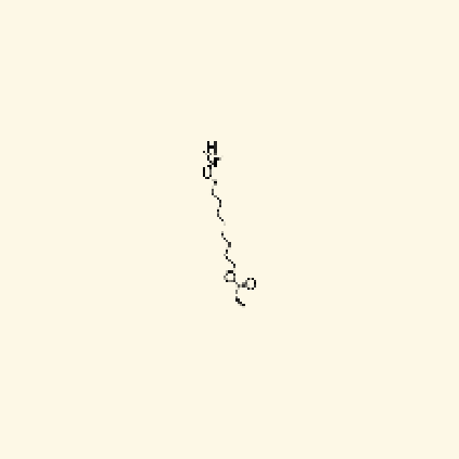 C=CC(=O)OCCCCCCCCCO[SiH](C)C